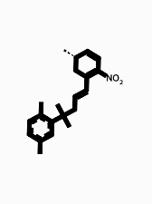 Cc1ccc(C)c(C(C)(C)C/C=C/C2=C([N+](=O)[O-])C=C[C@@H](C)C2)c1